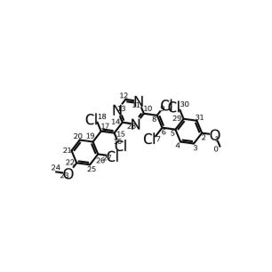 COc1ccc(C(Cl)=C(Cl)c2ncnc(C(Cl)=C(Cl)c3ccc(OC)cc3Cl)n2)c(Cl)c1